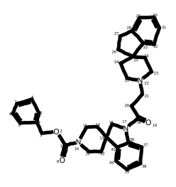 O=C(OCc1ccccc1)N1CCC2(CC1)CN(C(=O)CCN1CCC3(CCc4ccccc43)CC1)c1ccccc12